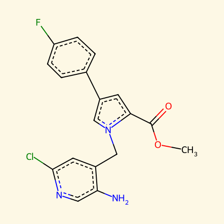 COC(=O)c1cc(-c2ccc(F)cc2)cn1Cc1cc(Cl)ncc1N